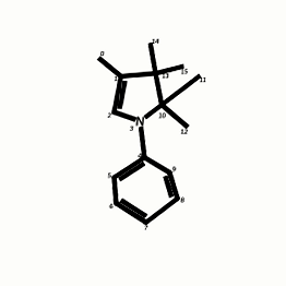 CC1=CN(c2ccccc2)C(C)(C)C1(C)C